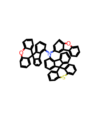 c1ccc2c(c1)Oc1ccccc1C21c2ccccc2-c2c(N(c3ccc4oc5ccccc5c4c3)c3cccc4c3-c3ccccc3C43c4ccccc4Sc4ccccc43)cccc21